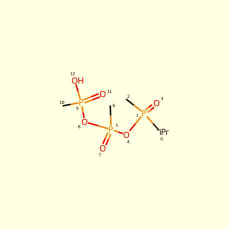 CC(C)P(C)(=O)OP(C)(=O)OP(C)(=O)O